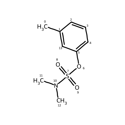 Cc1cccc(OS(=O)(=O)N(C)C)c1